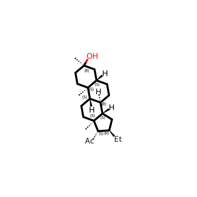 CC[C@@H]1C[C@H]2[C@@H]3CC[C@H]4C[C@](C)(O)CC[C@]4(C)[C@H]3CC[C@]2(C)[C@H]1C(C)=O